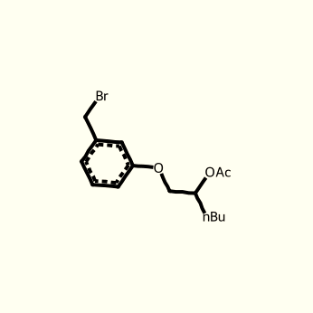 CCCCC(COc1cccc(CBr)c1)OC(C)=O